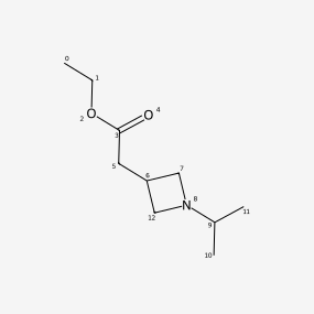 CCOC(=O)CC1CN(C(C)C)C1